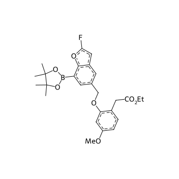 CCOC(=O)Cc1ccc(OC)cc1OCc1cc(B2OC(C)(C)C(C)(C)O2)c2oc(F)cc2c1